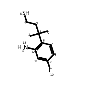 CC(C)(CCS)c1ccc(F)cc1N